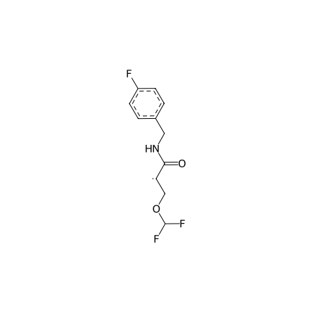 O=C([CH]COC(F)F)NCc1ccc(F)cc1